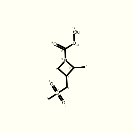 C[C@H]1C(CS(C)(=O)=O)CN1C(=O)OC(C)(C)C